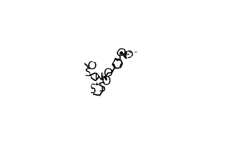 CC(=O)S[C@H]1C[C@@H](C2SCCCS2)N(C(=O)OCc2ccc([N+](=O)[O-])cc2)C1